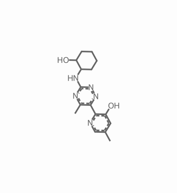 Cc1cnc(-c2nnc(NC3CCCCC3O)nc2C)c(O)c1